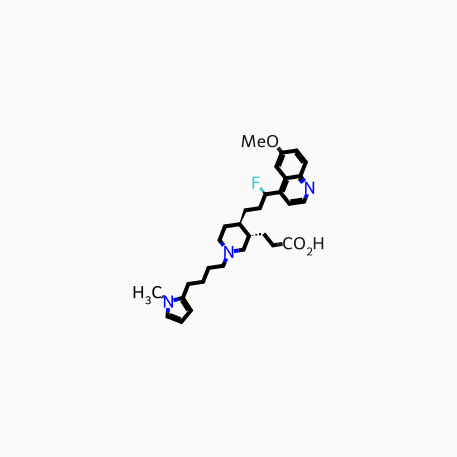 COc1ccc2nccc([C@H](F)CC[C@@H]3CCN(CCCCc4cccn4C)C[C@H]3CCC(=O)O)c2c1